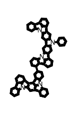 c1ccc(-n2c3cc4c5cccc6c7ccccc7n(c4cc3c3cc4c(cc32)c2cccc3c7c(-c8ccc9c(c8)c8c%10c%11cccc%12c%13ccccc%13n(c%10cc%10c%13ccccc%13n9c%108)c%12%11)cccc7n4c23)c65)cc1